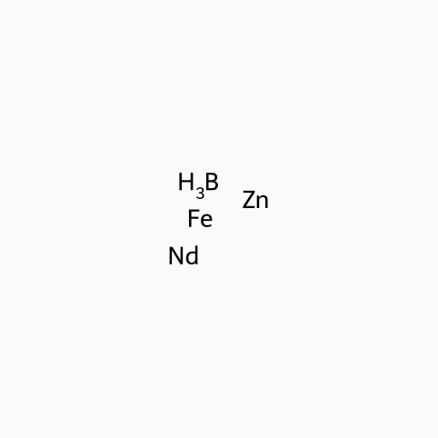 B.[Fe].[Nd].[Zn]